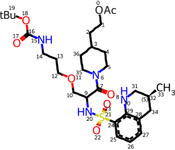 CC(=O)OCCC1CCN(C(=O)C(COCCCNC(=O)OC(C)(C)C)NS(=O)(=O)c2cccc3c2NC[C@@H](C)C3)CC1